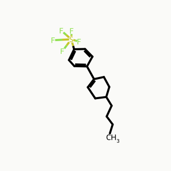 CCCCC1CC=C(c2ccc(S(F)(F)(F)(F)F)cc2)CC1